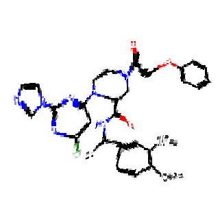 CCC(NC(=O)C1CN(C(=O)COc2ccccc2)CCN1c1cc(Cl)nc(-n2ccnc2)n1)c1ccc(OC)c(OC)c1